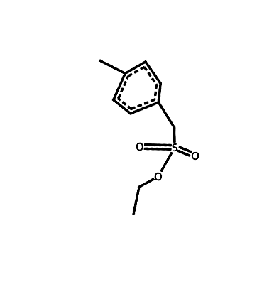 CCOS(=O)(=O)Cc1ccc(C)cc1